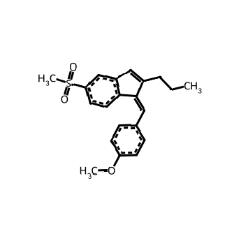 CCCC1=Cc2cc(S(C)(=O)=O)ccc2C1=Cc1ccc(OC)cc1